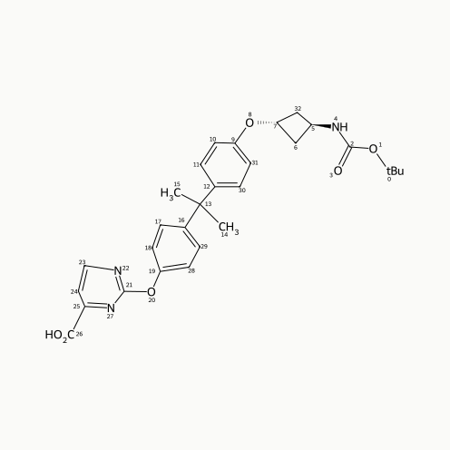 CC(C)(C)OC(=O)N[C@H]1C[C@H](Oc2ccc(C(C)(C)c3ccc(Oc4nccc(C(=O)O)n4)cc3)cc2)C1